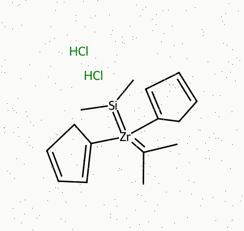 C[C](C)=[Zr]([C]1=CC=CC1)([C]1=CC=CC1)=[Si](C)C.Cl.Cl